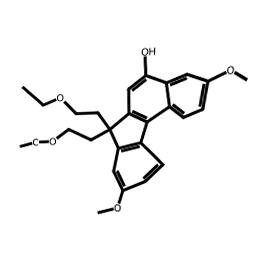 CCOCCC1(CCOCC)c2cc(OC)ccc2-c2c1cc(O)c1cc(OC)ccc21